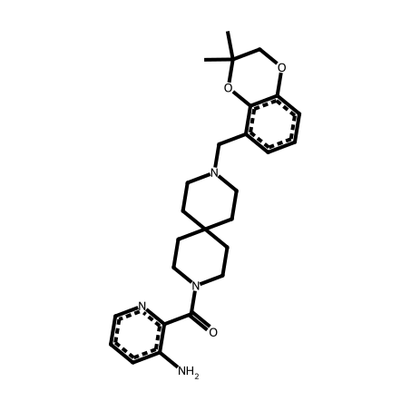 CC1(C)COc2cccc(CN3CCC4(CC3)CCN(C(=O)c3ncccc3N)CC4)c2O1